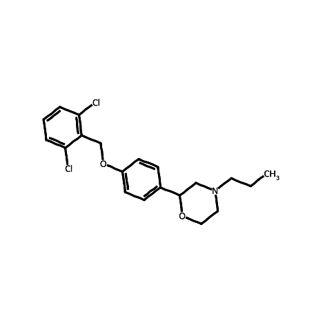 CCCN1CCOC(c2ccc(OCc3c(Cl)cccc3Cl)cc2)C1